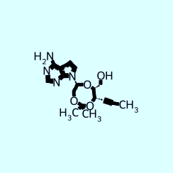 CC#C[C@@H]1OC(C)(C)OC[C@H](n2ccc3c(N)ncnc32)O[C@@H]1CO